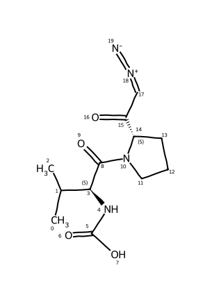 CC(C)[C@H](NC(=O)O)C(=O)N1CCC[C@H]1C(=O)C=[N+]=[N-]